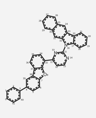 c1ccc(-c2ccc3oc4c(-c5ccnc(-n6c7ccccc7c7cc8ccccc8cc76)n5)cccc4c3c2)cc1